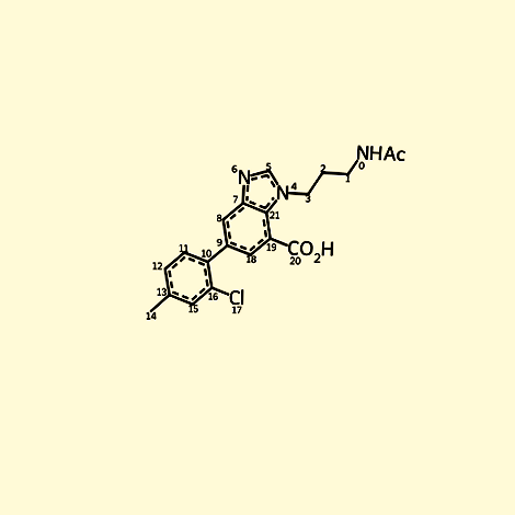 CC(=O)NCCCn1cnc2cc(-c3ccc(C)cc3Cl)cc(C(=O)O)c21